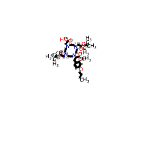 CCCCOc1ccc(CC(C(=O)OC)N2CCN(CC(=O)OC(C)(C)C)CCN(CC(=O)O)CCN(CC(=O)OC(C)(C)C)CC2)cc1